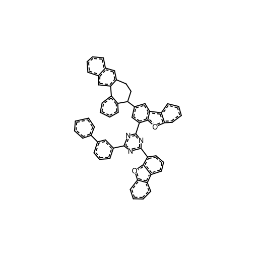 c1ccc(-c2cccc(-c3nc(-c4cccc5c4oc4ccccc45)nc(-c4cc(C5CCc6cc7ccccc7cc6-c6ccccc65)cc5c4oc4ccccc45)n3)c2)cc1